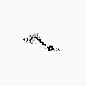 C=C(C)C(=O)OC(C)CCCCCCCOc1ccc(C(=O)O)cc1